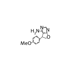 COc1ccc(C2COc3ncnc(N)c32)cc1